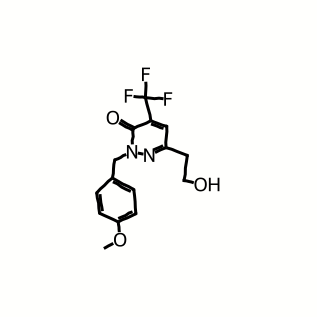 COc1ccc(Cn2nc(CCO)cc(C(F)(F)F)c2=O)cc1